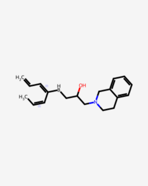 C=C/C=C(BCC(O)CN1CCc2ccccc2C1)\C=C/C